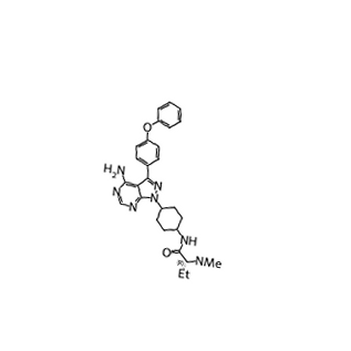 CC[C@@H](NC)C(=O)NC1CCC(n2nc(-c3ccc(Oc4ccccc4)cc3)c3c(N)ncnc32)CC1